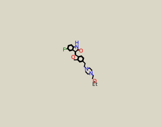 CCOCCN1CCN(CCc2ccc3c(c2)CO/C3=C2/C(=O)Nc3ccc(F)cc32)CC1